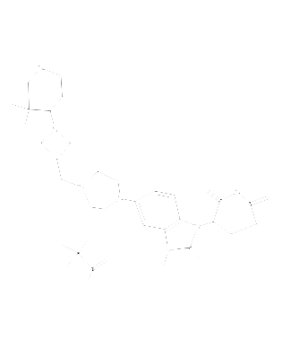 Cn1c(=O)n(C2CCC(=O)NC2=O)c2ccc(N3CCN(CC4CN(C5CCNCC5(F)F)C4)CC3)cc21.O=C(O)C(F)(F)F